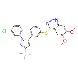 COc1cc2ncnc(Sc3cccc(-c4cc(C(C)(C)C)nn4-c4cccc(Cl)c4)c3)c2cc1OC